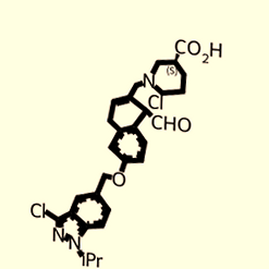 CC(C)n1nc(Cl)c2cc(COc3ccc4c(c3)CC=C(CN3CCC[C@H](C(=O)O)C3)C4(Cl)C=O)ccc21